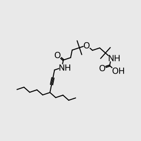 CCCCCC(C#CCNC(=O)CCC(C)(C)OCCC(C)(C)NC(=O)O)CCCC